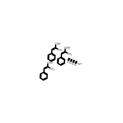 CC(=Cc1ccccc1)C(=O)[O-].CC(=Cc1ccccc1)C(=O)[O-].CC(=Cc1ccccc1)C(=O)[O-].[C]=O.[C]=O.[C]=O.[C]=O.[Fe+3]